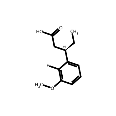 CC[C@H](CC(=O)O)c1cccc(OC)c1F